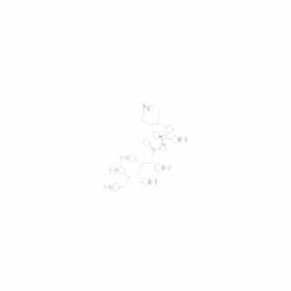 CN1CCC(OP(=O)(O)OC(=O)[C@H](O)[C@@H](O)[C@H](O)[C@H](O)CO)CC1